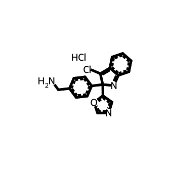 Cl.NCc1ccc(C2(c3cnco3)N=c3ccccc3=C2Cl)cc1